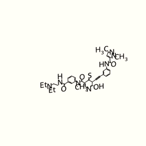 CCN(CC)CCNC(=O)c1cccc(N(C)C(=O)C2=CN=C(O)C(C#Cc3cccc(NC(=O)c4cc(C)nn4C)c3)C2=S)c1